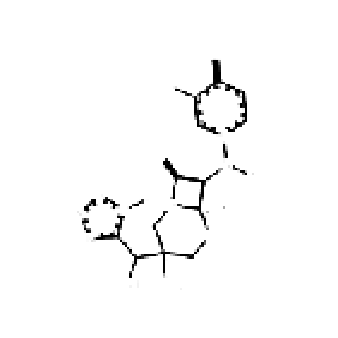 CC(=O)N(C1C(=O)N2CC(C(=O)O)(C(S)c3nnnn3C)CS[C@H]12)n1ccc(=O)c(O)c1